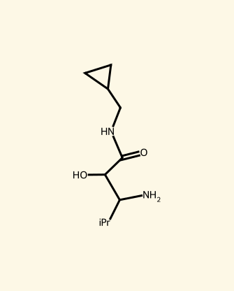 CC(C)C(N)C(O)C(=O)NCC1CC1